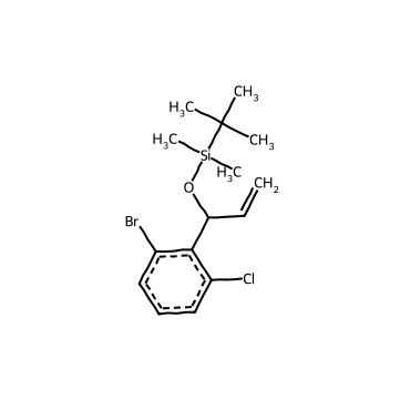 C=CC(O[Si](C)(C)C(C)(C)C)c1c(Cl)cccc1Br